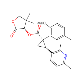 COc1ccc(C)cc1[C@]1(C(=O)O[C@H]2C(=O)OCC2(C)C)C[C@@H]1c1ccc(C)nc1C